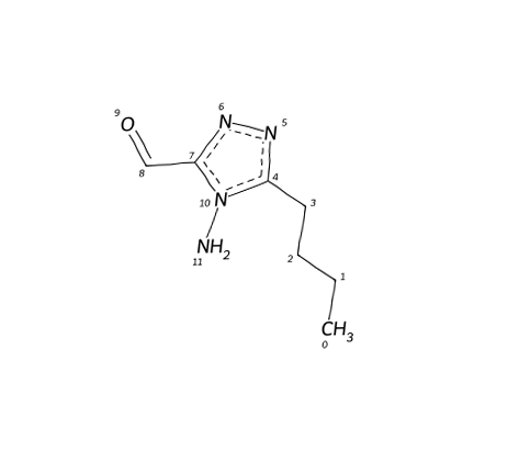 CCCCc1nnc(C=O)n1N